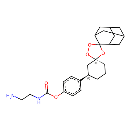 NCCNC(=O)Oc1ccc([C@@H]2CCC[C@]3(C2)OOC2(O3)C3CC4CC(C3)CC2C4)cc1